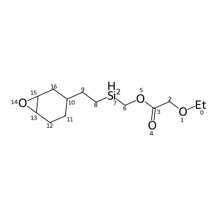 CCOCC(=O)OC[SiH2]CCC1CCC2OC2C1